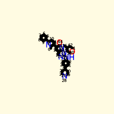 Cc1nc(-c2ccccc2)ccc1-c1cc2cnc(Nc3ccc(C4CCN(C)CC4)cc3)nc2n(CC2CCOCC2)c1=O